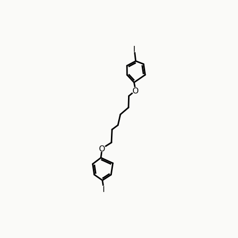 Ic1ccc(OCCCCCCOc2ccc(I)cc2)cc1